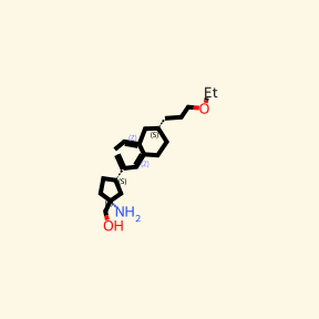 C=C(/C=C1/CC[C@@H](CCCOCC)C/C1=C/C)[C@H]1CC[C@](N)(CO)C1